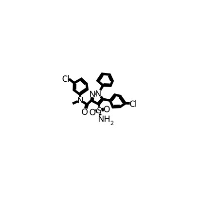 CN(C(=O)c1nn(-c2ccccc2)c(-c2ccc(Cl)cc2)c1S(N)(=O)=O)c1cccc(Cl)c1